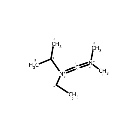 CC[N+](=C=[N+](C)C)C(C)C